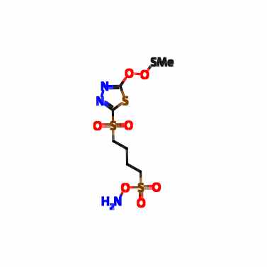 CSOOc1nnc(S(=O)(=O)CCCCS(=O)(=O)ON)s1